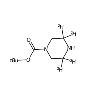 [2H]C1([2H])CN(C(=O)OC(C)(C)C)CC([2H])([2H])N1